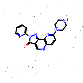 O=c1c2c[nH]c3ccc(N4CCNCC4)nc3c-2nn1-c1ccccn1